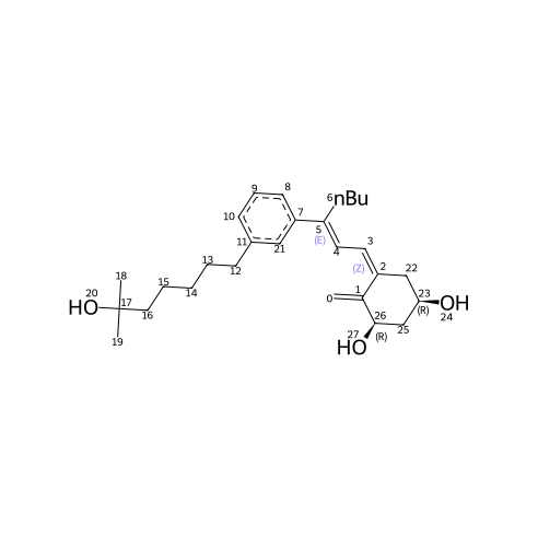 C=C1/C(=C\C=C(/CCCC)c2cccc(CCCCCC(C)(C)O)c2)C[C@@H](O)C[C@H]1O